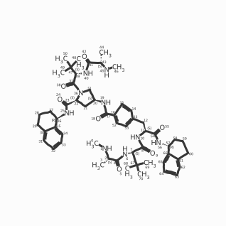 CN[C@@H](C)C(=O)N[C@H](C(=O)N[C@@H](Cc1ccc(C(=O)N[C@H]2C[C@@H](C(=O)N[C@@H]3CCCc4ccccc43)N(C(=O)[C@@H](NC(=O)[C@H](C)NC)C(C)(C)C)C2)cc1)C(=O)N[C@@H]1CCCc2ccccc21)C(C)(C)C